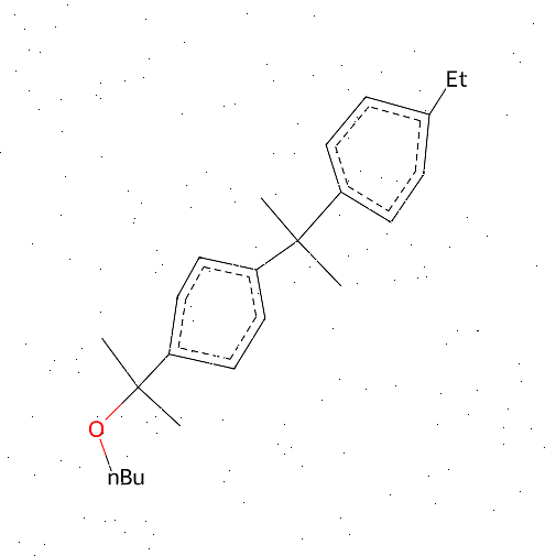 CCCCOC(C)(C)c1ccc(C(C)(C)c2ccc(CC)cc2)cc1